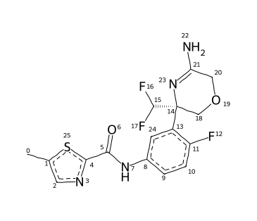 Cc1cnc(C(=O)Nc2ccc(F)c([C@]3(C(F)F)COCC(N)=N3)c2)s1